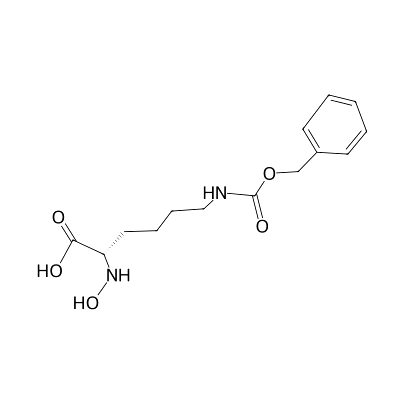 O=C(NCCCC[C@H](NO)C(=O)O)OCc1ccccc1